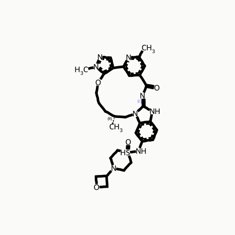 Cc1cc2cc(n1)-c1cnn(C)c1OCCC[C@@H](C)CN1/C(=N/C2=O)Nc2ccc(N[SH]3(=O)CCN(C4COC4)CC3)cc21